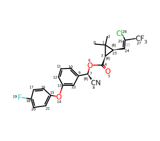 CC1(C)[C@H](C(=O)O[C@@H](C#N)c2cccc(Oc3ccc(F)cc3)c2)[C@@H]1/C=C(\Cl)C(F)(F)F